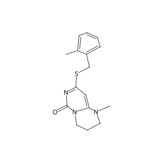 Cc1ccccc1CSc1cc2n(c(=O)n1)CCCN2C